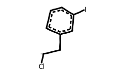 Cl[CH]Cc1cccc(I)c1